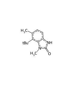 Cc1ccc2[nH]c(=O)n(C)c2c1C(C)(C)C